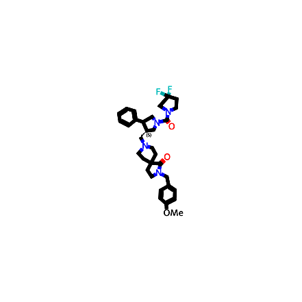 COc1ccc(CN2CCC3(CCN(C[C@H]4CN(C(=O)N5CCC(F)(F)C5)CC4c4ccccc4)CC3)C2=O)cc1